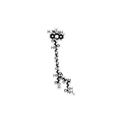 CC(CCCNC(N)=O)NC(=O)CNC(=O)C(CCC(=O)O)NC(=O)CCOCCOCCOCCOCCNC(=O)CCC(=O)N1Cc2ccccc2/C(N)=C(/N(C)N)c2ccccc21